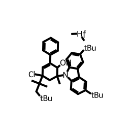 CC(C)(C)CC(C)(C)C1(Cl)C=C(c2ccccc2)C(O)C(C)(n2c3ccc(C(C)(C)C)cc3c3cc(C(C)(C)C)ccc32)C1.[CH3][Hf][CH3]